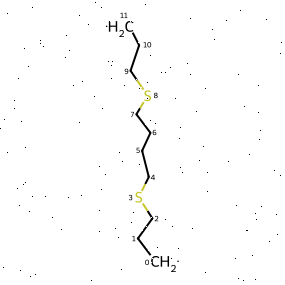 [CH2]CCSCCCCSCC[CH2]